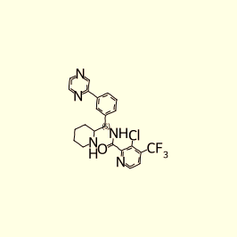 O=C(N[C@@H](c1cccc(-c2cnccn2)c1)C1CCCCN1)c1nccc(C(F)(F)F)c1Cl